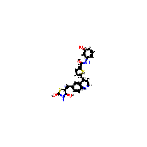 O=C1NC(=O)/C(=C\c2ccc3nccc(-c4ccc(C(=O)Nc5cccc(O)c5)s4)c3c2)S1